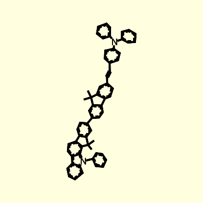 CC1(C)c2cc(C#Cc3ccc(N(c4ccccc4)c4ccccc4)cc3)ccc2-c2ccc(-c3ccc4c(c3)C(C)(C)c3c-4ccc4c5ccccc5n(-c5ccccc5)c34)cc21